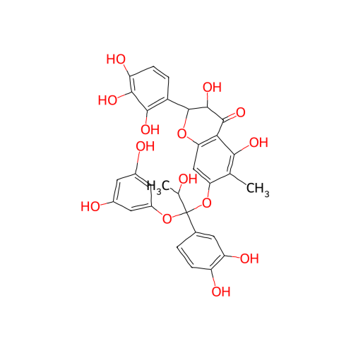 Cc1c(OC(Oc2cc(O)cc(O)c2)(c2ccc(O)c(O)c2)C(C)O)cc2c(c1O)C(=O)C(O)C(c1ccc(O)c(O)c1O)O2